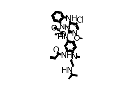 C=CC(=O)Nc1cc(Nc2ncc(Cl)c(Nc3ccccc3NS(C)(=O)=O)n2)c(OC)cc1N(C)CCNC(C)C